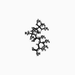 CCC(N)(CC)C(=O)N[C@H](C(=O)N(C)[C@H](/C=C(\C)C(=O)O)C(C)C)C(C)(C)C